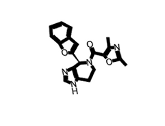 Cc1nc(C)c(C(=O)N2CCc3[nH]cnc3[C@H]2c2cc3ccccc3o2)o1